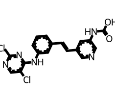 O=C(O)Nc1cncc(C=Cc2cccc(Nc3nc(Cl)ncc3Cl)c2)c1